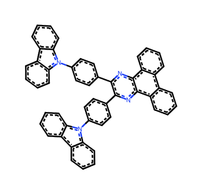 c1ccc2c(c1)c1ccccc1c1nc(-c3ccc(-n4c5ccccc5c5ccccc54)cc3)c(-c3ccc(-n4c5ccccc5c5ccccc54)cc3)nc21